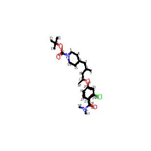 CC(CC1CCN(C(=O)OC(C)(C)C)CC1)CC(C)Oc1ccc(C(=O)N(C)C)c(Cl)c1